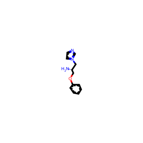 N[C@@H](COc1ccccc1)Cn1ccnc1